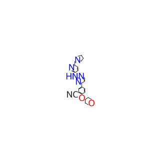 N#Cc1cc(-c2ccnc(Nc3ccc(CN4CCCC4)nc3)n2)ccc1OC1CCOCC1